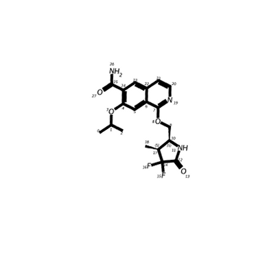 CC(C)Oc1cc2c(OC[C@H]3NC(=O)C(F)(F)[C@H]3C)nccc2cc1C(N)=O